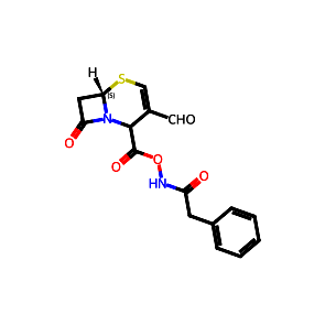 O=CC1=CS[C@H]2CC(=O)N2C1C(=O)ONC(=O)Cc1ccccc1